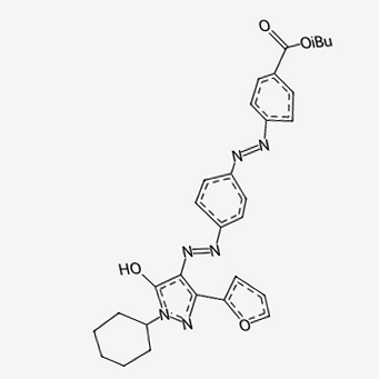 CC(C)COC(=O)c1ccc(/N=N/c2ccc(/N=N/c3c(-c4ccco4)nn(C4CCCCC4)c3O)cc2)cc1